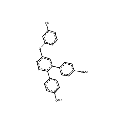 COc1ccc(-c2cc(Oc3cccc(C#N)c3)nnc2-c2ccc(OC)cc2)cc1